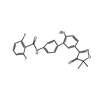 CC1(C)ON=C(c2ccc(C(C)(C)C)c(-c3ccc(NC(=O)c4c(F)cccc4F)cc3)c2)C1=O